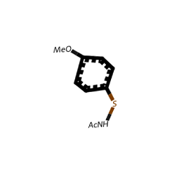 COc1ccc(SNC(C)=O)cc1